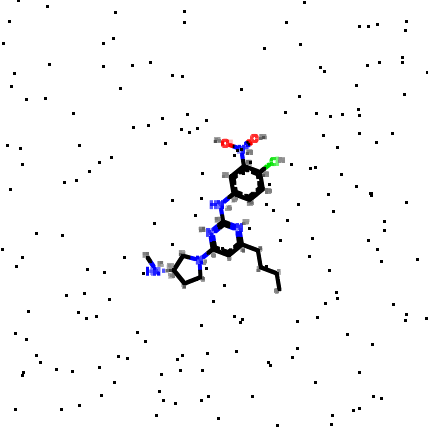 CCCCc1cc(N2CC[C@H](NC)C2)nc(Nc2ccc(Cl)c([N+](=O)[O-])c2)n1